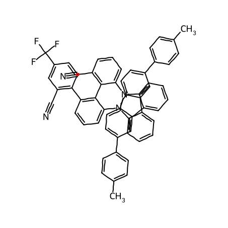 Cc1ccc(-c2ccc3c(c2)c2ccccc2n3-c2cccc(C#N)c2-c2c(-c3ccc(C(F)(F)F)cc3C#N)cccc2-n2c3ccccc3c3cc(-c4ccc(C)cc4)ccc32)cc1